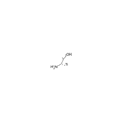 NCCO.[Ti]